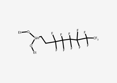 CCO[SiH](CCC(F)(F)C(F)(F)C(F)(F)C(F)(F)C(F)(F)C(F)(F)F)OCC